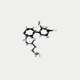 NCCC1COc2cccc(-c3ccc(F)cc3F)c2O1